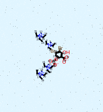 CC[N+](C)(CC)CC.CC[N+](C)(CC)CC.CC[N+](C)(CC)CC.CC[N+](C)(CC)CC.O=C([O-])c1ccc(Br)c(Br)c1O.[O-]B([O-])[O-]